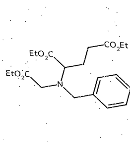 CCOC(=O)CCC(C(=O)OCC)N(CC(=O)OCC)Cc1ccccc1